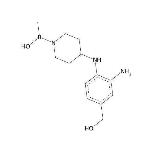 CB(O)N1CCC(Nc2ccc(CO)cc2N)CC1